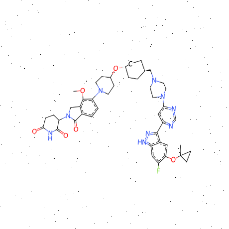 COc1c(N2CCC(O[C@H]3CC[C@H](CN4CCN(c5cc(-c6n[nH]c7cc(F)c(OC8(C)CC8)cc67)ncn5)CC4)CC3)CC2)ccc2c1CN(C1CCC(=O)NC1=O)C2=O